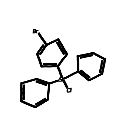 Cl[Si](c1ccccc1)(c1ccccc1)c1ccc(Br)cc1